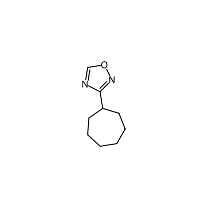 c1nc(C2CCCCCC2)no1